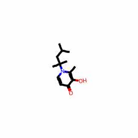 Cc1c(O)c(=O)ccn1C(C)(C)CC(C)C